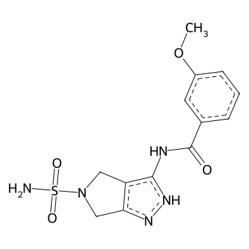 COc1cccc(C(=O)Nc2[nH]nc3c2CN(S(N)(=O)=O)C3)c1